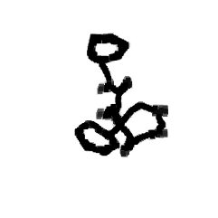 O=C(Nc1ccccc1)NC1(c2ccccc2)CNCNC1=O